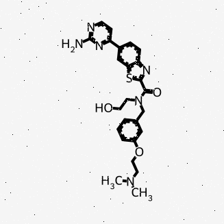 CN(C)CCOc1cccc(CN(CCO)C(=O)c2nc3ccc(-c4ccnc(N)n4)cc3s2)c1